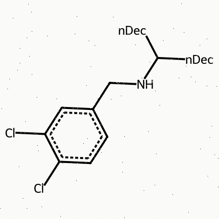 CCCCCCCCCCC(CCCCCCCCCC)NCc1ccc(Cl)c(Cl)c1